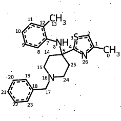 Cc1csc(C2(Nc3ccccc3C)CCN(Cc3ccccc3)CC2)n1